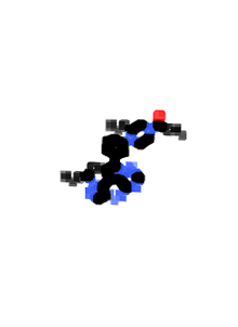 CC(=O)N1CCN(c2cccc(-c3cc(-c4ccnn4C(C)C)c4c(N)ncnn34)c2)[C@@H](C)C1